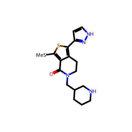 CSc1sc(-c2cc[nH]n2)c2c1C(=O)N(CC1CCCNC1)CC2